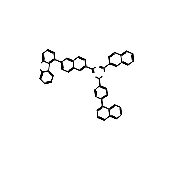 c1ccc2cc(C3=NC(c4ccc5cc(-c6cccc7oc8ccccc8c67)ccc5c4)=NC(c4ccc(-c5cccc6ccccc56)cc4)N3)ccc2c1